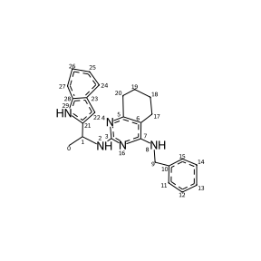 CC(Nc1nc2c(c(NCc3ccccc3)n1)CCCC2)c1cc2ccccc2[nH]1